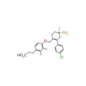 Cc1c(CCC(=O)O)ccc(OCC2=C(c3ccc(Cl)cc3)CC(F)(P)CC2)c1C